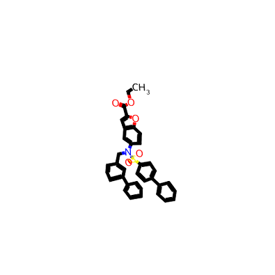 CCOC(=O)c1cc2cc(N(Cc3cccc(-c4ccccc4)c3)S(=O)(=O)c3ccc(-c4ccccc4)cc3)ccc2o1